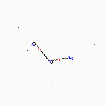 [N-]=[N+]=NCCCCCCOCCCc1ccc[n+](CCCCCCCCCCOCCCc2cccnc2)c1